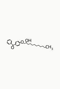 CCCCCCCCCCC(O)COc1ccc(C(=O)c2ccccc2)cc1